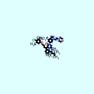 C/C=C(C)\C(C)=C(/CC)c1c(Cl)ccc2c(CCCOc3cc(C)c(Cl)c(C)c3)c3n(c12)[C@H](C)CN(c1cc(C(=O)O)c2ccn(CCN4CCOCC4)c2c1)C3=O